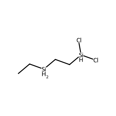 CC[SiH2]CC[SiH](Cl)Cl